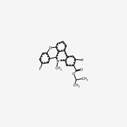 CC(C)OC(=O)c1cc2c(cc1F)c1cccc3c1c([n+]2C)-c1cc(F)ccc1O3